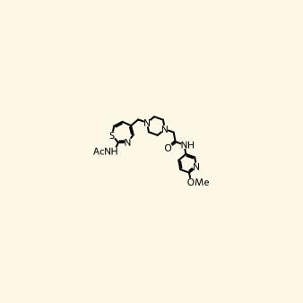 COc1ccc(NC(=O)CN2CCN(CC3=CN=C(NC(C)=O)SC=C3)CC2)cn1